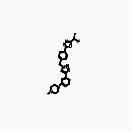 CN1CCN(c2cccc(-c3cn(Cc4ccc(-c5nnc(C(F)F)o5)cc4)nn3)c2)CC1